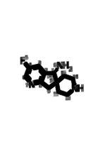 N[C@@H]1c2cc(F)cnc2CC12CCNCC2